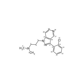 CN(C)CCCn1nc(-c2ccccc2Cl)c2cnccc21